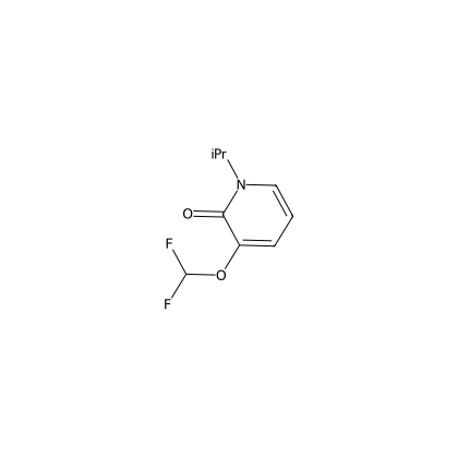 CC(C)n1cccc(OC(F)F)c1=O